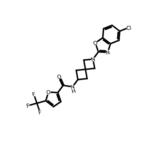 O=C(NC1CC2(C1)CN(c1nc3cc(Cl)ccc3o1)C2)c1ccc(C(F)(F)F)o1